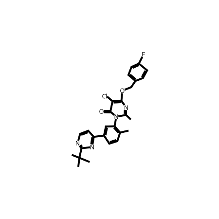 Cc1ccc(-c2ccnc(C(C)(C)C)n2)cc1-n1c(C)nc(OCc2ccc(F)cc2)c(Cl)c1=O